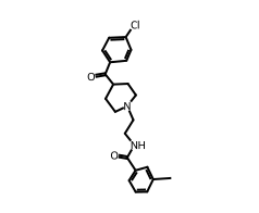 Cc1cccc(C(=O)NCCN2CCC(C(=O)c3ccc(Cl)cc3)CC2)c1